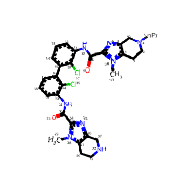 CCCN1CCc2c(nc(C(=O)Nc3cccc(-c4cccc(NC(=O)c5nc6c(n5C)CCNC6)c4Cl)c3Cl)n2C)C1